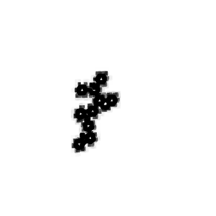 c1ccc(-c2cc(-c3cc(-c4ccc5c(c4)c4ccccc4n5-c4ccc(-c5cccc6c5sc5ccccc56)cc4)c4ccc5ccccc5c4c3)cc(-c3ccccc3)n2)cc1